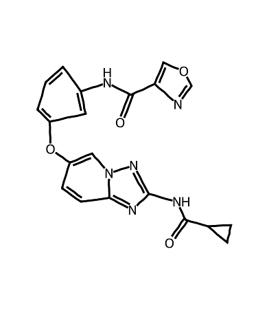 O=C(Nc1cccc(Oc2ccc3nc(NC(=O)C4CC4)nn3c2)c1)c1cocn1